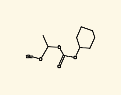 CC(OC(=O)OC1CCCCC1)OC(C)(C)C